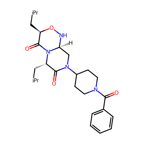 CC(C)C[C@H]1ON[C@H]2CN(C3CCN(C(=O)c4ccccc4)CC3)C(=O)[C@H](CC(C)C)N2C1=O